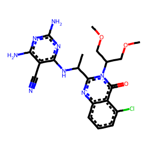 COCC(COC)n1c(C(C)Nc2nc(N)nc(N)c2C#N)nc2cccc(Cl)c2c1=O